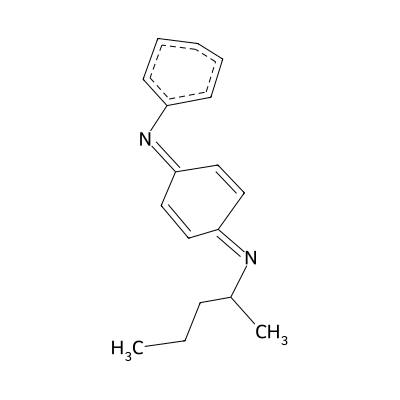 CCCC(C)N=C1C=CC(=Nc2ccccc2)C=C1